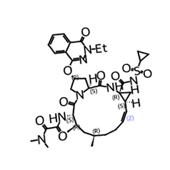 CCn1nc(O[C@@H]2C[C@H]3C(=O)N[C@]4(C(=O)NS(=O)(=O)C5CC5)C[C@H]4/C=C\CC[C@@H](C)C[C@@H](C)[C@H](NC(=O)C(=O)N(C)C)C(=O)N3C2)c2ccccc2c1=O